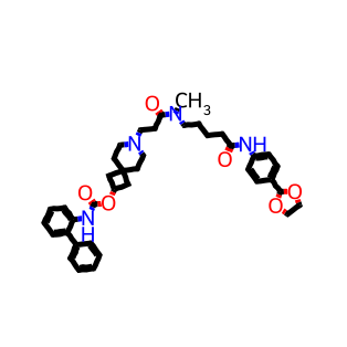 CN(CCCCC(=O)Nc1ccc(C2OCCO2)cc1)C(=O)CCN1CCC2(CC1)CC(OC(=O)Nc1ccccc1-c1ccccc1)C2